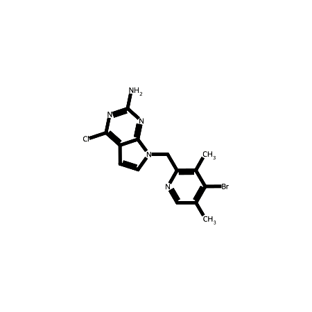 Cc1cnc(Cn2ccc3c(Cl)nc(N)nc32)c(C)c1Br